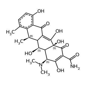 Cc1ccc(O)c2c1[C@H](C)C1C(=C(O)[C@]3(O)C(=O)C(C(N)=O)=C(O)[C@@H](N(C)C)C3[C@H]1O)C2=O